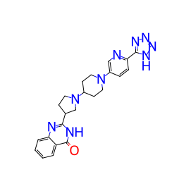 O=c1[nH]c(C2CCN(C3CCN(c4ccc(-c5nnn[nH]5)nc4)CC3)C2)nc2ccccc12